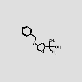 CC(C)(O)[C@@H]1C[C@H](OCc2ccccc2)CO1